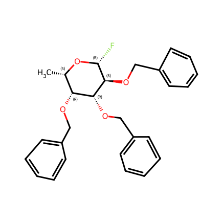 C[C@@H]1O[C@H](F)[C@@H](OCc2ccccc2)[C@H](OCc2ccccc2)[C@@H]1OCc1ccccc1